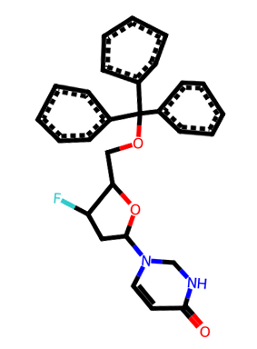 O=C1C=CN(C2CC(F)C(COC(c3ccccc3)(c3ccccc3)c3ccccc3)O2)CN1